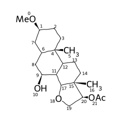 CO[C@H]1CC[C@@]2(C)C(C1)C[C@H](O)C1C2CC[C@@]2(C)C1OC[C@@H]2OC(C)=O